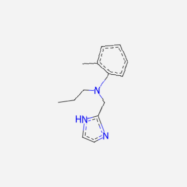 CCCN(Cc1ncc[nH]1)c1ccccc1C